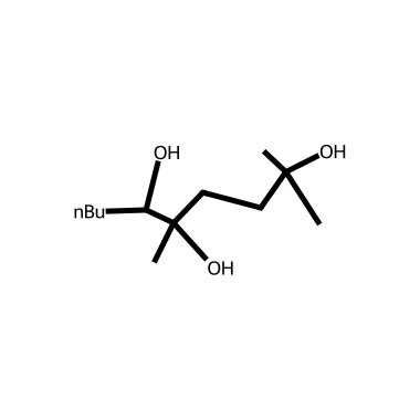 CCCCC(O)C(C)(O)CCC(C)(C)O